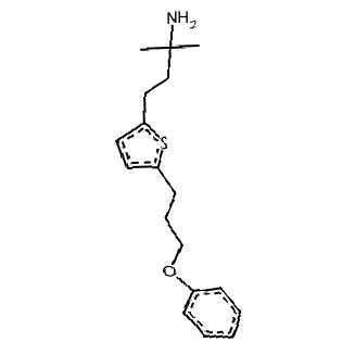 CC(C)(N)CCc1ccc(CCCOc2ccccc2)s1